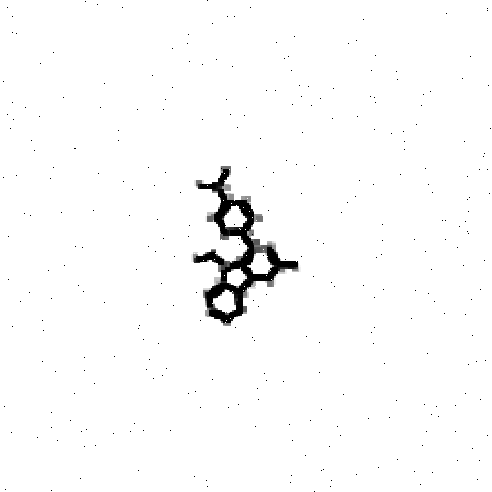 CCn1c2ccccc2c2cc(C)cc(-c3ccc(N(C)C)cc3)c21